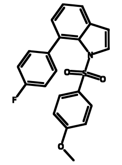 COc1ccc(S(=O)(=O)n2ccc3cccc(-c4ccc(F)cc4)c32)cc1